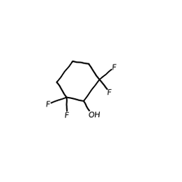 OC1C(F)(F)CCCC1(F)F